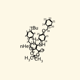 CCCCCCC(Cc1ccc(C(C)(C)C)cc1)NC(Nc1ccc(OCc2ccccc2)cc1)=C1C(=O)OC(C)(C)OC1=O